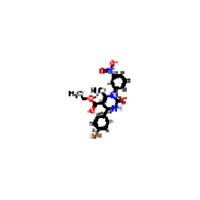 CCOC(=O)C1=C(C)N(c2cccc([N+](=O)[O-])c2)C(=O)NC1c1ccc(Br)cc1